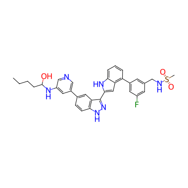 CCCCC(O)Nc1cncc(-c2ccc3[nH]nc(-c4cc5c(-c6cc(F)cc(CNS(C)(=O)=O)c6)cccc5[nH]4)c3c2)c1